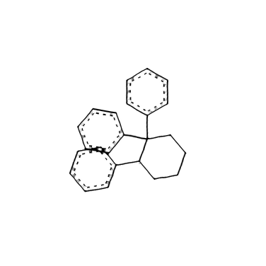 c1ccc([C]2CCCCC2(c2ccccc2)c2ccccc2)cc1